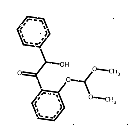 COC(OC)Oc1ccccc1C(=O)C(O)c1ccccc1